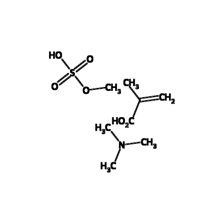 C=C(C)C(=O)O.CN(C)C.COS(=O)(=O)O